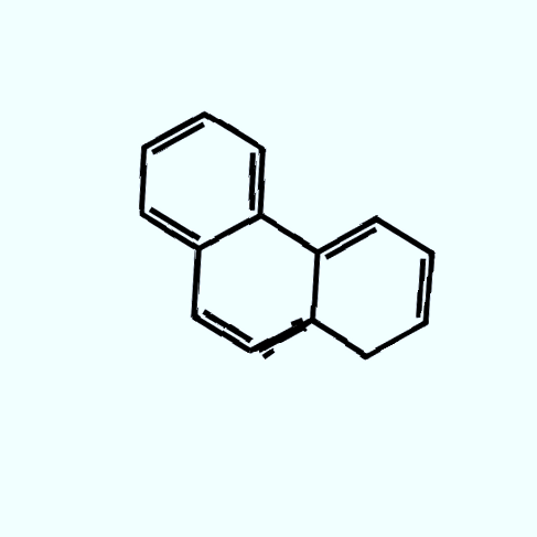 C1=CCC23C=CC=CC2=Cc2ccccc2C3=C1